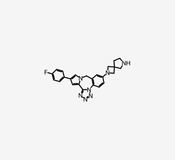 Fc1ccc(-c2cc3n(c2)Cc2cc(N4CC5(CCNC5)C4)ccc2-n2nnnc2-3)cc1